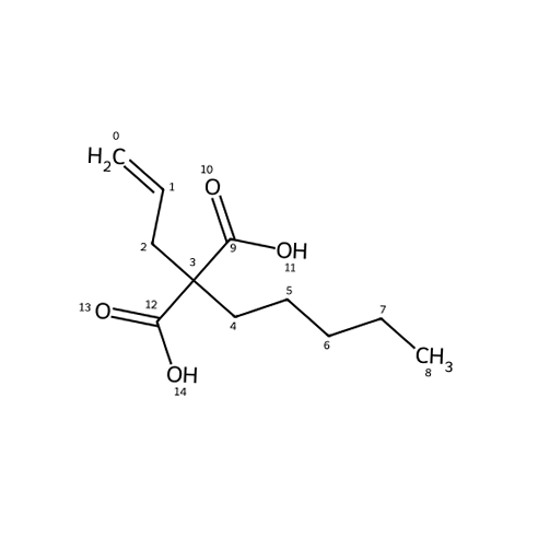 C=CCC(CCCCC)(C(=O)O)C(=O)O